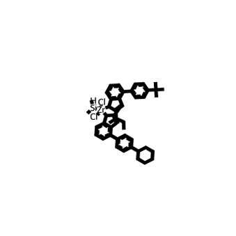 CCC(C)C1=Cc2c(-c3ccc(C(C)(C)C)cc3)cccc2[CH]1[Zr]([Cl])([Cl])([CH]1C(C)=Cc2c(-c3ccc(C4CCCCC4)cc3)cccc21)[SiH](C)C